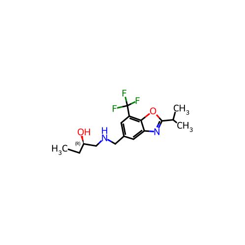 CC[C@@H](O)CNCc1cc(C(F)(F)F)c2oc(C(C)C)nc2c1